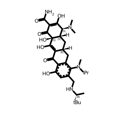 CC(C)N(C)c1c(CN[C@H](C)C(C)(C)C)cc(O)c2c1C[C@H]1C[C@H]3[C@H](N(C)C)C(O)=C(C(N)=O)C(=O)[C@@]3(O)C(O)=C1C2=O